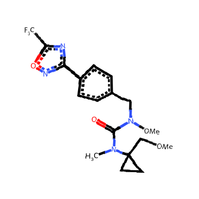 COCC1(N(C)C(=O)N(Cc2ccc(-c3noc(C(F)(F)F)n3)cc2)OC)CC1